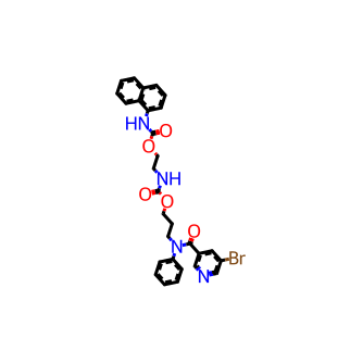 O=C(NCCOC(=O)Nc1cccc2ccccc12)OCCCN(C(=O)c1cncc(Br)c1)c1ccccc1